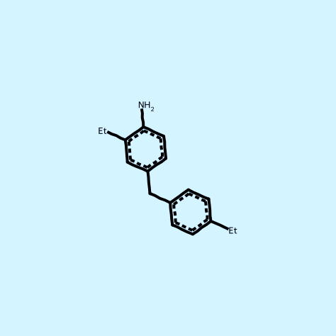 CCc1ccc(Cc2ccc(N)c(CC)c2)cc1